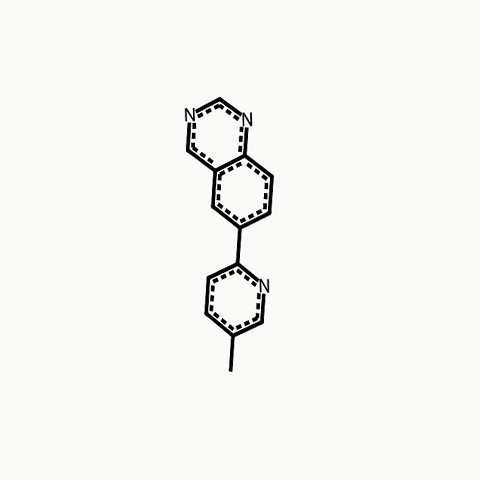 Cc1ccc(-c2ccc3ncncc3c2)nc1